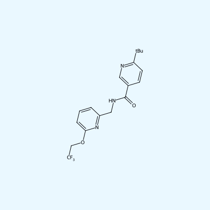 CC(C)(C)c1ccc(C(=O)NCc2cccc(OCC(F)(F)F)n2)cn1